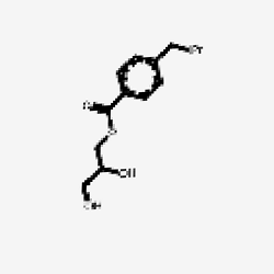 CC(C)Cc1ccc(C(=O)OCC(O)CO)cc1